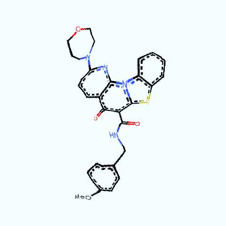 COc1ccc(CNC(=O)c2c(=O)c3ccc(N4CCOCC4)nc3n3c2sc2ccccc23)cc1